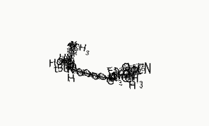 CCc1cc2c(cc1N1CCN(C(=O)CCOCCOCCOCCOCCC(=O)N[C@H](C(=O)N3C[C@H](O)C[C@H]3C(=O)NCc3ccc(-c4scnc4C)cc3)C(C)(C)C)CC1)C(C)(C)c1[nH]c3cc(C#N)ccc3c1C2=O